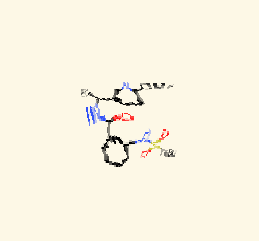 CCCCS(=O)(=O)Nc1ccccc1C(=O)NC(CC)c1ccc(OC)nc1